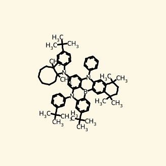 CC(C)(C)c1cccc(N2c3cc(C(C)(C)C)ccc3B3c4cc5c(cc4N(c4ccccc4)c4cc(N6c7ccc(C(C)(C)C)cc7C7(C)CCCCCCC67C)cc2c43)C(C)(C)CCC5(C)C)c1